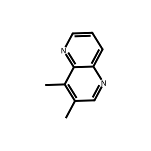 Cc1cnc2cccnc2c1C